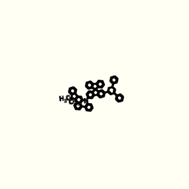 CC1(C)c2ccccc2-c2cc(N(c3ccc4c(c3)-c3ccc(C5=CC(c6ccccc6)=CC(c6ccccc6)C5)cc3C43c4ccccc4-c4ccccc43)c3ccccc3-c3ccccc3)ccc21